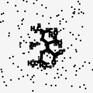 CC(C)C/C(C(=O)[O-])=C(\CC(C)C)C(=O)[O-].[Zn+2]